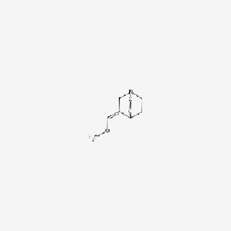 COC=C1CN2CCC1CC2